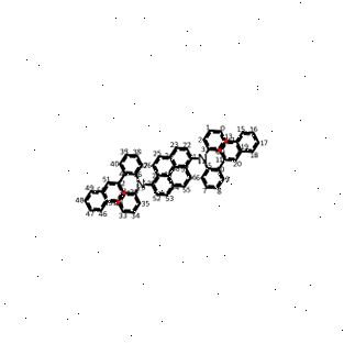 c1ccc(N(c2ccccc2-c2ccc3ccccc3c2)c2ccc3ccc4c(N(c5ccccc5)c5ccccc5-c5ccc6ccccc6c5)ccc5ccc2c3c54)cc1